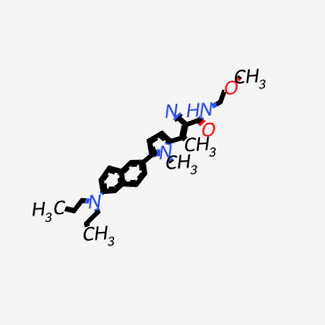 CCCN(CCC)c1ccc2cc(-c3ccc(/C(C)=C(\C#N)C(=O)NCCOC)n3C)ccc2c1